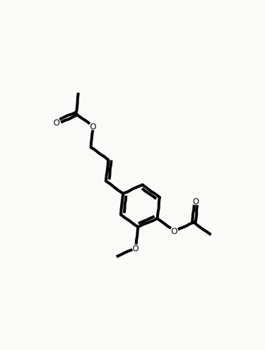 COc1cc(/C=C/COC(C)=O)ccc1OC(C)=O